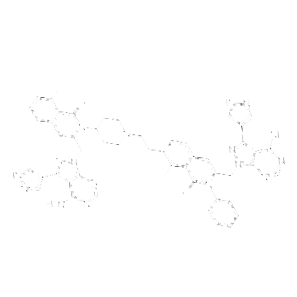 Cc1c(CCN2CCC(n3c(Cn4nc(-c5cn[nH]c5)c5c(N)ncnc54)cc4cccc(C)c4c3=O)CC2)ccc2cc(Cn3nc(-c4cn[nH]c4)c4c(N)ncnc43)n(-c3ccccc3)c(=O)c12